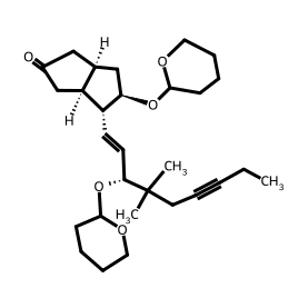 CCC#CCC(C)(C)[C@@H](/C=C/[C@@H]1[C@H]2CC(=O)C[C@H]2C[C@H]1OC1CCCCO1)OC1CCCCO1